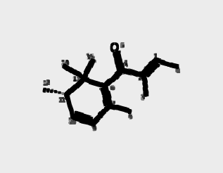 C/C=C(\C)C(=O)C1=C(C)C=C[C@H](C)C1(C)C